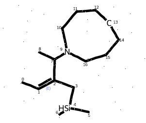 C/C=C(/C[SiH](C)C)C(C)N1CCCCCCC1